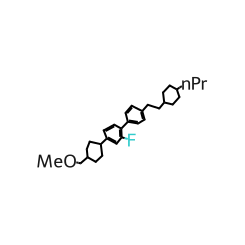 CCCC1CCC(CCc2ccc(-c3ccc(C4CCC(COC)CC4)cc3F)cc2)CC1